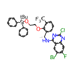 C[C@@H](Nc1nc(Cl)nc2cc(F)c(Br)cc12)c1cccc(C(F)(F)F)c1OCCO[Si](c1ccccc1)(c1ccccc1)C(C)(C)C